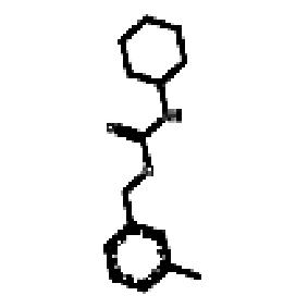 Cc1cccc(COC(=O)NC2CCCCC2)c1